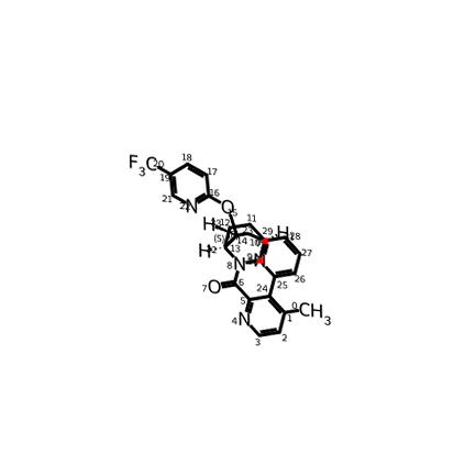 Cc1ccnc(C(=O)N2C[C@@H]3CC[C@H]2[C@H](Oc2ccc(C(F)(F)F)cn2)C3)c1-c1ccccn1